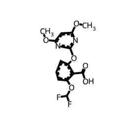 COc1cc(OC)nc(Oc2cccc(OC(F)F)c2C(=O)O)n1